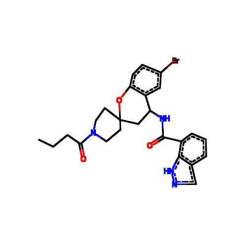 CCCC(=O)N1CCC2(CC1)CC(NC(=O)c1cccc3cn[nH]c13)c1cc(Br)ccc1O2